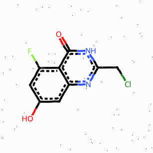 O=c1[nH]c(CCl)nc2cc(O)cc(F)c12